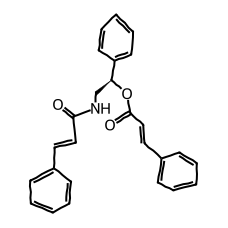 O=C(C=Cc1ccccc1)NC[C@H](OC(=O)C=Cc1ccccc1)c1ccccc1